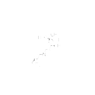 C=CCCNCCC(C)CC(C)(C)C